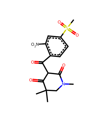 CN1CC(C)(C)C(=O)C(C(=O)c2ccc(S(C)(=O)=O)cc2[N+](=O)[O-])C1=O